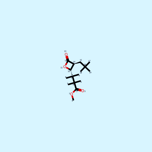 COC(=O)C(C)(C)C(C)(C)[C@@H]1OC(=O)[C@H]1CC(C)(C)C